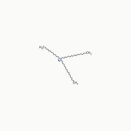 CCCCCCCCCCCCCCCCCC1N(CCCCCCCCCCCC)C=CN1CCCCCCCCCCCCCCCC